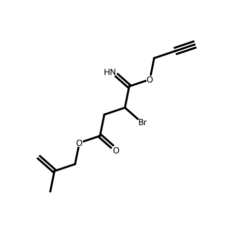 C#CCOC(=N)C(Br)CC(=O)OCC(=C)C